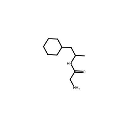 CC(CC1CCCCC1)NC(=O)CN